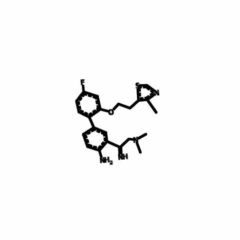 Cc1ncsc1CCOc1cc(F)ccc1-c1ccc(N)c(C(=N)CN(C)C)c1